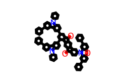 O=c1c2ccc(N3c4cc(-c5ccccc5)ccc4Oc4ccc(-c5ccccc5)cc43)cc2c2cc3c(=O)c4cc(-c5ccc6c(c5)c5cc(-c7ccccc7)ccc5n6-c5ccccc5)cc(-c5ccc6c(c5)c5cc(-c7ccccc7)ccc5n6-c5ccccc5)c4c3cc12